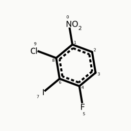 O=[N+]([O-])c1ccc(F)c(I)c1Cl